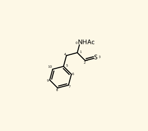 CC(=O)NC([C]=S)Cc1ccccc1